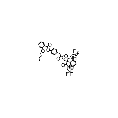 CCCCOc1ccccc1C(=O)Oc1ccc(CC(=O)OCC(C(=O)NCC(F)(F)F)(C(=O)NCC(F)(F)F)c2ccccc2)cc1